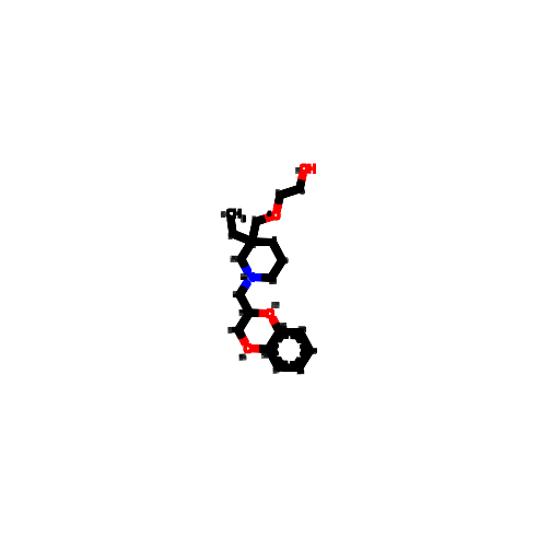 CCC1(COCCO)CCCN(CC2COc3ccccc3O2)C1